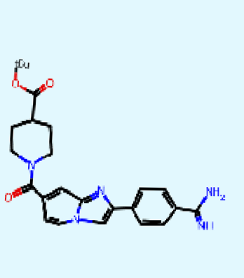 CC(C)(C)OC(=O)C1CCN(C(=O)c2ccn3cc(-c4ccc(C(=N)N)cc4)nc3c2)CC1